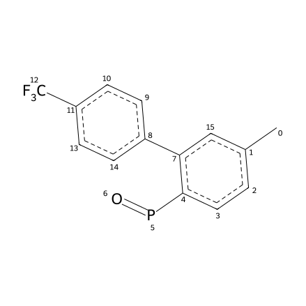 Cc1ccc(P=O)c(-c2ccc(C(F)(F)F)cc2)c1